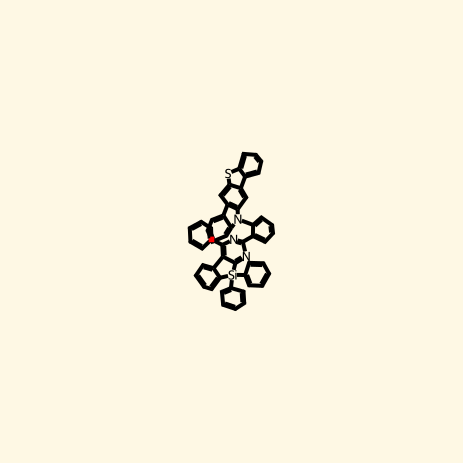 c1ccc(-c2nc(-c3ccccc3-n3c4ccccc4c4cc5sc6ccccc6c5cc43)nc3c2-c2ccccc2[Si]3(c2ccccc2)c2ccccc2)cc1